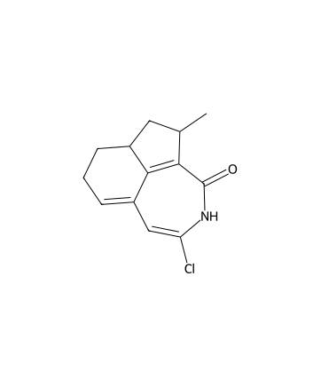 CC1CC2CCC=C3C=C(Cl)NC(=O)C1=C32